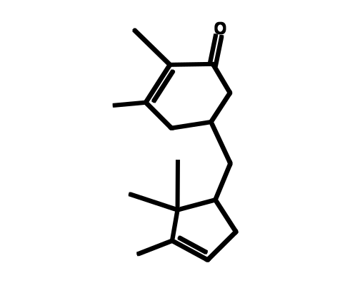 CC1=CCC(CC2CC(=O)C(C)=C(C)C2)C1(C)C